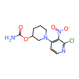 NC(=O)OC1CCCN(c2ccnc(Cl)c2[N+](=O)[O-])C1